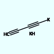 C#CC#[C][K].[KH]